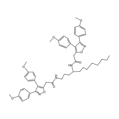 CCCCCCCCC(CCCNC(=O)Cc1onc(-c2ccc(OC)cc2)c1-c1ccc(OC)cc1)NC(=O)Cc1onc(-c2ccc(OC)cc2)c1-c1ccc(OC)cc1